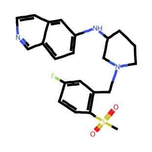 CS(=O)(=O)c1ccc(F)cc1CN1CCCC(Nc2ccc3cnccc3c2)C1